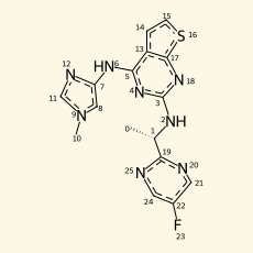 C[C@H](Nc1nc(Nc2cn(C)cn2)c2ccsc2n1)c1ncc(F)cn1